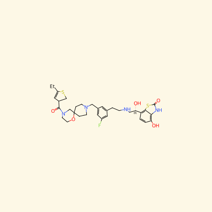 CCC1=CC(C(=O)N2CCOC3(CCN(Cc4cc(F)cc(CCNC[C@H](O)c5ccc(O)c6[nH]c(=O)sc56)c4)CC3)C2)CS1